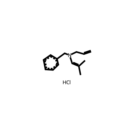 C=CCN(C=C(C)C)Cc1ccccc1.Cl